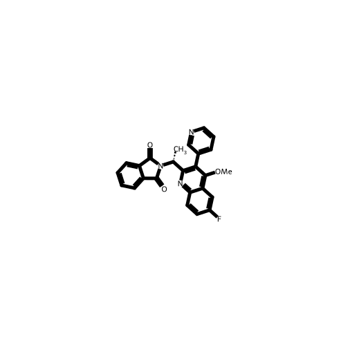 COc1c(-c2cccnc2)c([C@@H](C)N2C(=O)c3ccccc3C2=O)nc2ccc(F)cc12